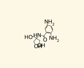 Nc1ccc(N)c(C(=O)NC(CO)(CO)CO)c1